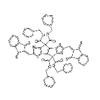 O=C(OCc1ccccc1)C1(C(=O)OCc2ccccc2)C2=C(c3sc(C=C4C(=S)c5ccccc5C4=S)nc31)C(C(=O)OCc1ccccc1)(C(=O)OCc1ccccc1)c1nc(C=C3C(=S)c4ccccc4C3=S)sc12